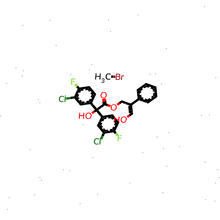 CBr.O=C(OCC(=CO)c1ccccc1)C(O)(c1ccc(F)c(Cl)c1)c1ccc(F)c(Cl)c1